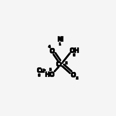 [Cu].[Ni].[O]=[Cr](=[O])([OH])[OH]